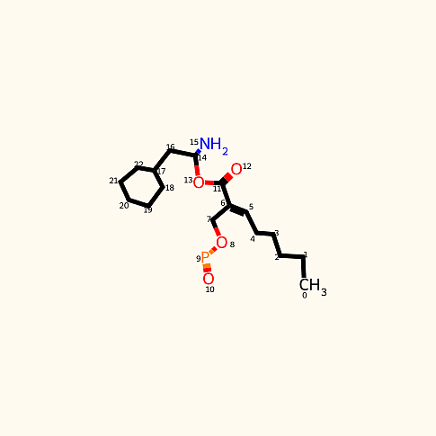 CCCCC/C=C(\COP=O)C(=O)OC(N)CC1CCCCC1